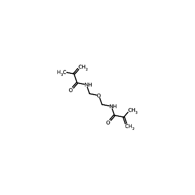 C=C(C)C(=O)NCOCNC(=O)C(=C)C